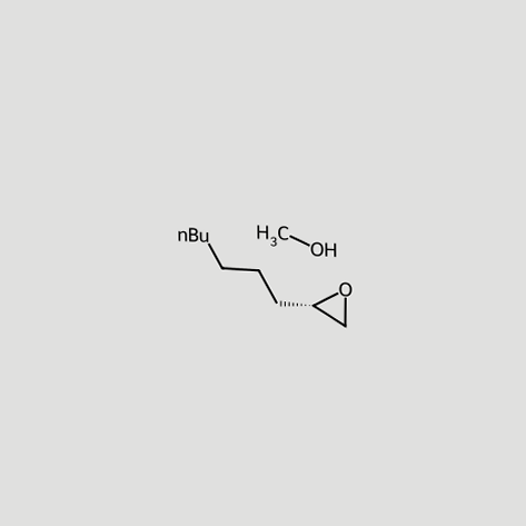 CCCCCCC[C@H]1CO1.CO